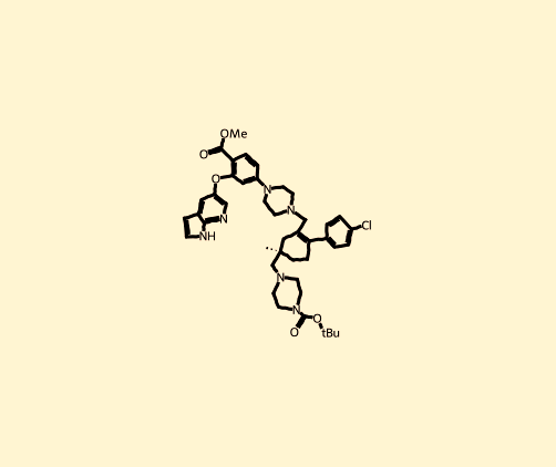 COC(=O)c1ccc(N2CCN(CC3=C(c4ccc(Cl)cc4)CC[C@@](C)(CN4CCN(C(=O)OC(C)(C)C)CC4)C3)CC2)cc1Oc1cnc2[nH]ccc2c1